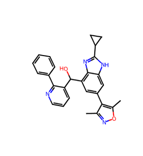 Cc1noc(C)c1-c1cc(C(O)c2cccnc2-c2ccccc2)c2nc(C3CC3)[nH]c2c1